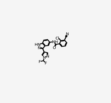 N#Cc1cccc(C(=O)Nc2ccc3[nH]nc(-c4cnn(C(F)F)c4)c3c2)c1Cl